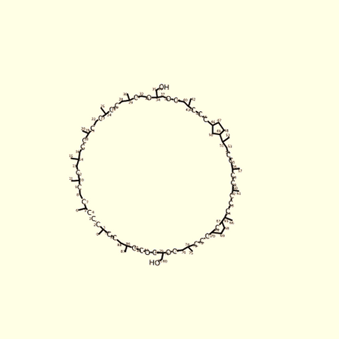 CC1CCCC(C)CCCC(C)CCC(C)CCCC(C)CCCC(C)CCCC(C)CCOC(CO)COCCC(C)CCCC2CCC(C2)C(C)CCCC(C)CCC(C)CCCC(C)C2CCC(CCCC(C)CCOC(CO)COCCC(C)CCC1)C2